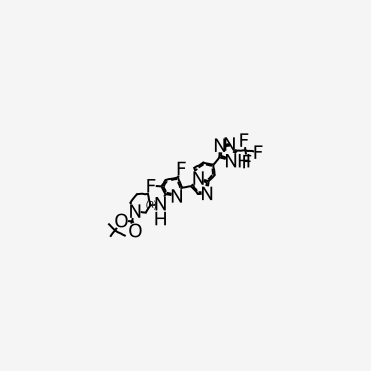 CC(C)(C)OC(=O)N1CCC[C@@H](Nc2nc(-c3cnc4cc(-c5nnc(C(F)(F)F)[nH]5)ccn34)c(F)cc2F)C1